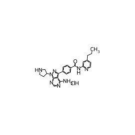 CCCc1ccnc(NC(=O)c2ccc(-c3nn(C4CCNC4)c4ncnc(N)c34)cc2)c1.Cl